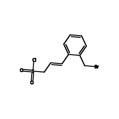 O=S(=O)(Cl)CC=Cc1ccccc1CBr